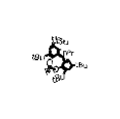 CCCC1c2cc(C(C)(C)C)cc(C(C)(C)C)c2OP(F)Oc2c1cc(C(C)(C)C)cc2C(C)(C)C